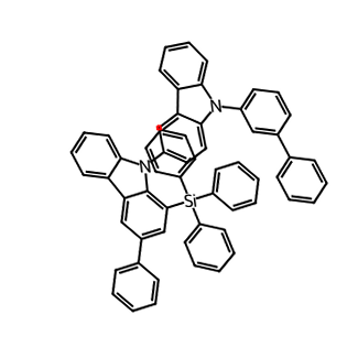 c1ccc(-c2cccc(-n3c4ccccc4c4cc(-n5c6ccccc6c6cc(-c7ccccc7)cc([Si](c7ccccc7)(c7ccccc7)c7ccccc7)c65)ccc43)c2)cc1